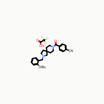 CC(C)COc1ccccc1CN1CCC2(CCN(C(=O)c3ccc(C#N)cc3)CC2)C1.O=C(O)C(F)(F)F